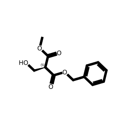 COC(=O)[C@H](CO)C(=O)OCc1ccccc1